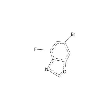 Fc1cc(Br)cc2ocnc12